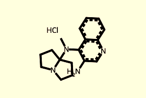 CN(c1c(N)cnc2ccccc12)C12CCCN1CCC2.Cl